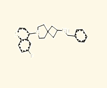 Fc1ccc2nccc(N3CCC4(CC3)CC(NCc3ccccc3)C4)c2c1